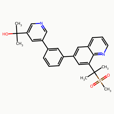 CC(C)(O)c1cncc(-c2cccc(-c3cc(C(C)(C)S(C)(=O)=O)c4ncccc4c3)c2)c1